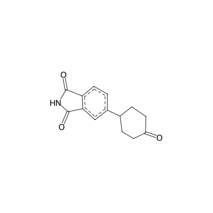 O=C1CCC(c2ccc3c(c2)C(=O)NC3=O)CC1